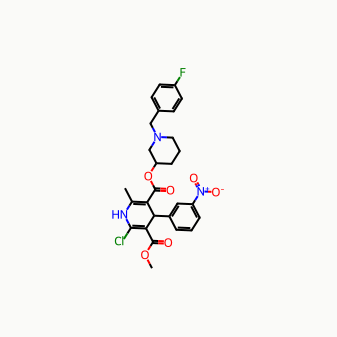 COC(=O)C1=C(Cl)NC(C)=C(C(=O)OC2CCCN(Cc3ccc(F)cc3)C2)C1c1cccc([N+](=O)[O-])c1